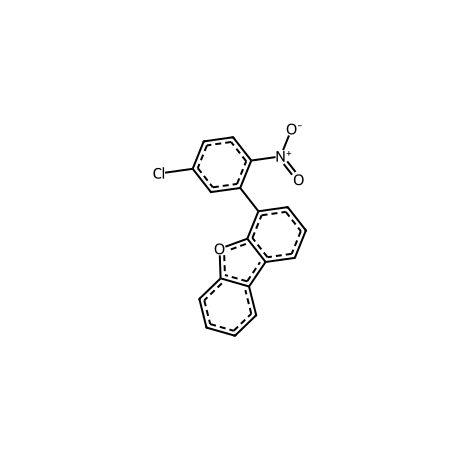 O=[N+]([O-])c1ccc(Cl)cc1-c1cccc2c1oc1ccccc12